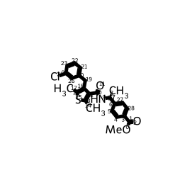 COC(=O)c1ccc([C@H](C)NC(=O)c2c(C)sc(C)c2Cc2cccc(Cl)c2)cc1